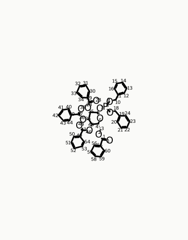 O=C(OC[C@H]1O[C@H](OP(OCc2ccccc2)OCc2ccccc2)[C@@H](OC(=O)c2ccccc2)[C@@H](OC(=O)c2ccccc2)[C@@H]1OC(=O)c1ccccc1)c1ccccc1